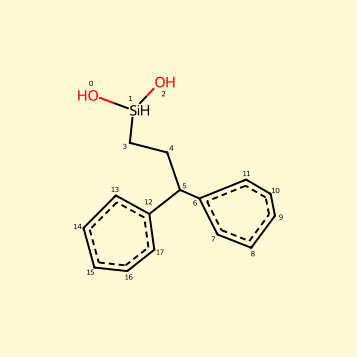 O[SiH](O)CCC(c1ccccc1)c1ccccc1